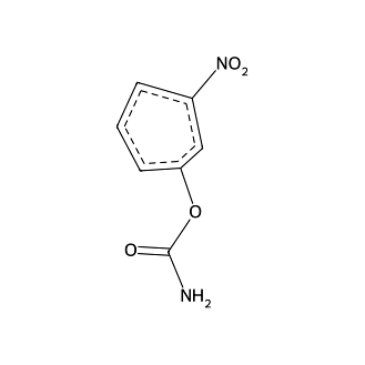 NC(=O)Oc1cccc([N+](=O)[O-])c1